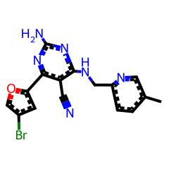 Cc1ccc(CNc2nc(N)nc(-c3cc(Br)co3)c2C#N)nc1